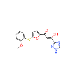 COc1ccccc1Sc1ccc(C(=O)C=C(O)c2nc[nH]n2)o1